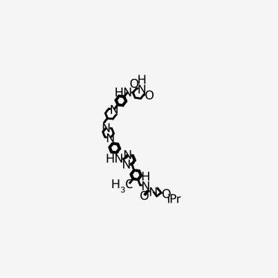 Cc1cc(-c2ccnc(Nc3ccc(N4CCN(CC5CCN(c6ccc(NC7CCC(=O)NC7=O)cc6)CC5)CC4)cc3)n2)ccc1CNC(=O)N1CC(OC(C)C)C1